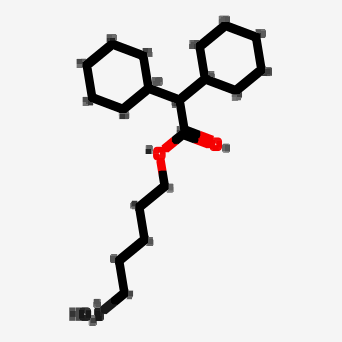 O=C(OCCCCCS(=O)(=O)O)C(C1CCCCC1)C1CCCCC1